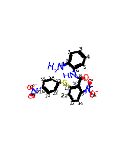 Nc1ccccc1NC(=O)c1c(Sc2ccc([N+](=O)[O-])cc2)cccc1[N+](=O)[O-]